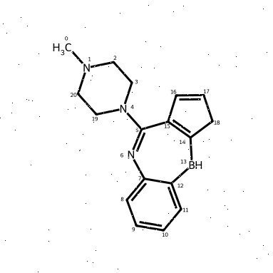 CN1CCN(C2=Nc3ccccc3BC3=C2C=CC3)CC1